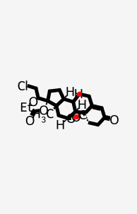 CCC(=O)O[C@]1(C(=O)CCl)CC[C@H]2[C@@H]3CCC4=CC(=O)CC[C@@]45COCO[C@@H](C[C@@]21C)[C@@H]35